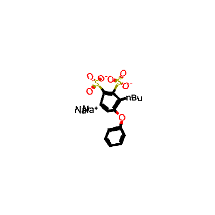 CCCCc1c(Oc2ccccc2)ccc(S(=O)(=O)[O-])c1S(=O)(=O)[O-].[Na+].[Na+]